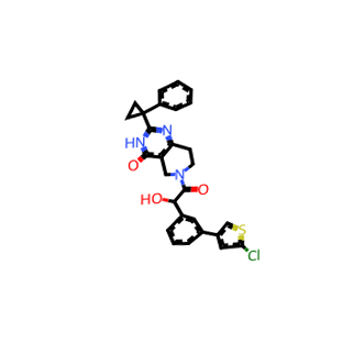 O=C(C(O)c1cccc(-c2csc(Cl)c2)c1)N1CCc2nc(C3(c4ccccc4)CC3)[nH]c(=O)c2C1